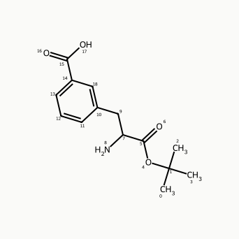 CC(C)(C)OC(=O)C(N)Cc1cccc(C(=O)O)c1